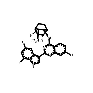 O=C(O)[C@@H]1C2CCC(CC2)[C@H]1Nc1nc(-c2c[nH]c3c(F)cc(F)cc23)nc2cc(Cl)ccc12